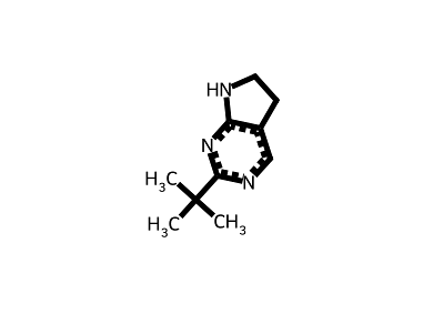 CC(C)(C)c1ncc2c(n1)NCC2